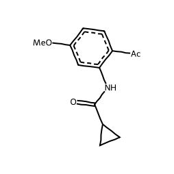 COc1ccc(C(C)=O)c(NC(=O)C2CC2)c1